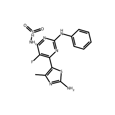 Cc1nc(N)sc1-c1nc(Nc2ccccc2)ncc1F.N[SH](=O)=O